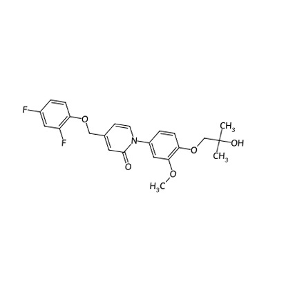 COc1cc(-n2ccc(COc3ccc(F)cc3F)cc2=O)ccc1OCC(C)(C)O